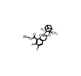 COc1c(CB2OC3CC4CC(C4(C)C)C3(C)O2)cc(F)c(F)c1C(=O)OC(C)(C)C